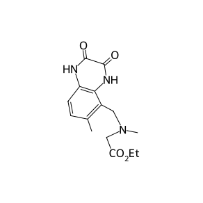 CCOC(=O)CN(C)Cc1c(C)ccc2[nH]c(=O)c(=O)[nH]c12